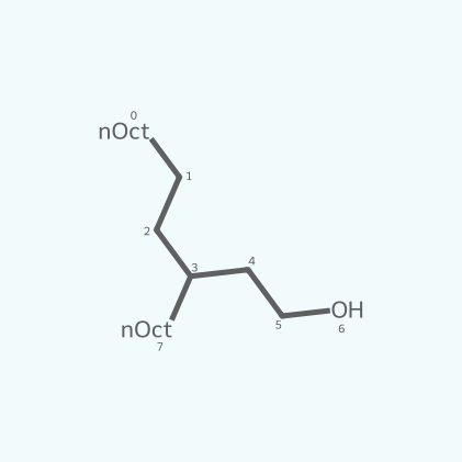 CCCCCCCCCCC(CCO)CCCCCCCC